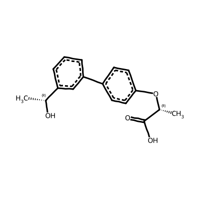 C[C@@H](Oc1ccc(-c2cccc([C@@H](C)O)c2)cc1)C(=O)O